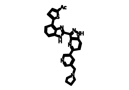 CC(=O)c1ccc(-c2cccc3[nH]c(-c4n[nH]c5ccc(-c6cncc(CN7CCCC7)c6)nc45)nc23)s1